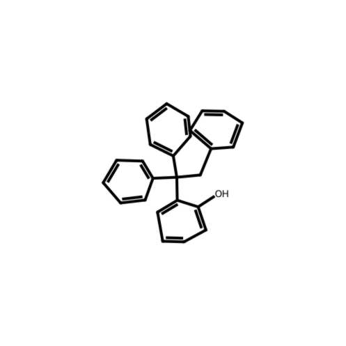 Oc1ccccc1C(Cc1ccccc1)(c1ccccc1)c1ccccc1